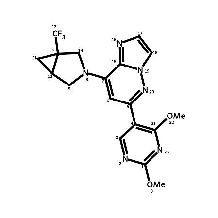 COc1ncc(-c2cc(N3CC4CC4(C(F)(F)F)C3)c3nccn3n2)c(OC)n1